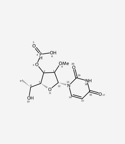 COC1C(O[PH](=O)O)[C@@H]([C@@H](C)O)O[C@H]1n1ccc(=O)[nH]c1=O